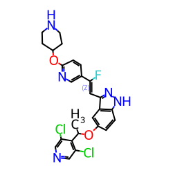 CC(Oc1ccc2[nH]nc(/C=C(\F)c3ccc(OC4CCNCC4)nc3)c2c1)c1c(Cl)cncc1Cl